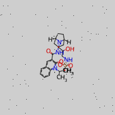 CC(C)n1c(=O)c(C(=O)N[C@@H]2C[C@H]3CC[C@@H](C2)N3CC(O)CNS(C)(=O)=O)cc2ccccc21